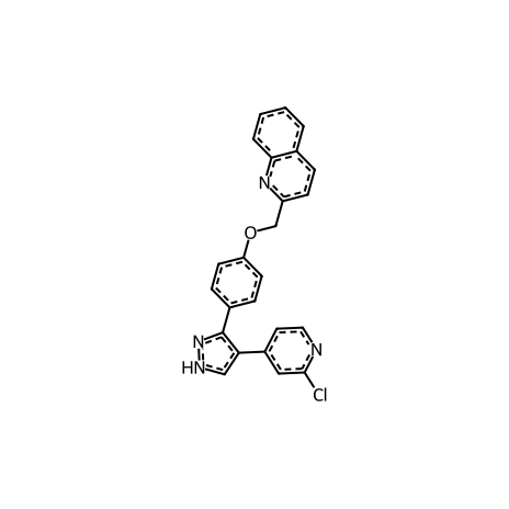 Clc1cc(-c2c[nH]nc2-c2ccc(OCc3ccc4ccccc4n3)cc2)ccn1